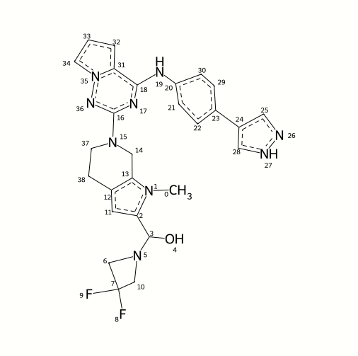 Cn1c(C(O)N2CC(F)(F)C2)cc2c1CN(c1nc(Nc3ccc(-c4cn[nH]c4)cc3)c3cccn3n1)CC2